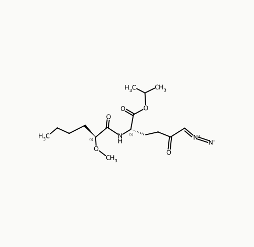 CCCC[C@H](OC)C(=O)N[C@@H](CCC(=O)C=[N+]=[N-])C(=O)OC(C)C